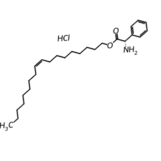 CCCCCCCC/C=C\CCCCCCCCOC(=O)[C@@H](N)c1ccccc1.Cl